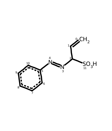 C=CC(N=Nc1ccccc1)S(=O)(=O)O